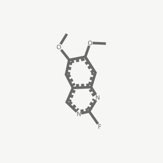 COc1cc2cnc(F)nc2cc1OC